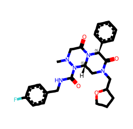 CN1CC(=O)N2[C@@H](c3ccccc3)C(=O)N(CC3CCCO3)C[C@@H]2N1C(=O)NCc1ccc(F)cc1